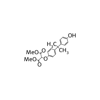 COC(=O)C(Oc1ccc(C(C)(C)c2ccc(O)cc2)cc1)C(=O)OC